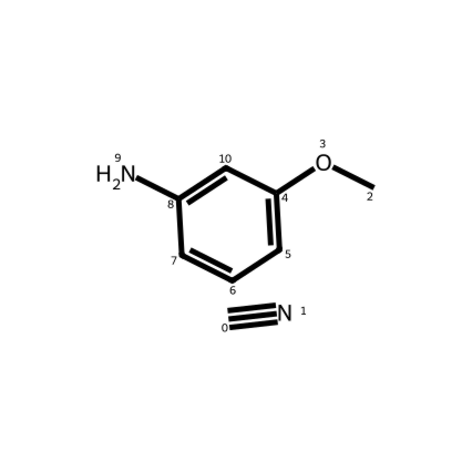 C#N.COc1cccc(N)c1